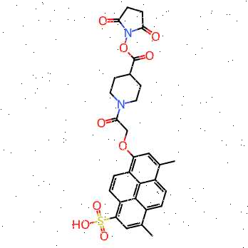 Cc1cc(OCC(=O)N2CCC(C(=O)ON3C(=O)CCC3=O)CC2)c2ccc3c(S(=O)(=O)O)cc(C)c4ccc1c2c43